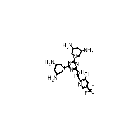 N[C@@H]1C[C@H](N)CN(c2nc(NNc3ncc(C(F)(F)F)cc3Cl)nc(N3C[C@H](N)C[C@H](N)C3)n2)C1